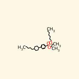 CCCCCCCOC(C)C(C)OC(=O)c1ccc(C2CCC(CCCCC)CC2)cc1